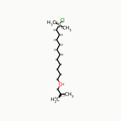 C=C(C)COCCCCCCCCCCC[Si](C)(C)Cl